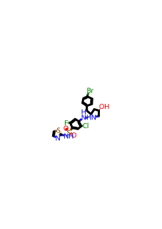 O=S(=O)(Nc1nccs1)c1cc(Cl)c(NC[C@]2(Cc3ccc(Br)cc3)C[C@H](O)CN2)cc1F